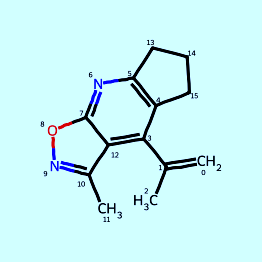 C=C(C)c1c2c(nc3onc(C)c13)CCC2